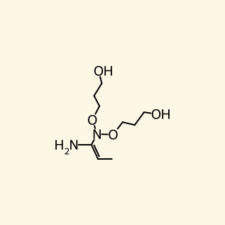 CC=C(N)N(OCCCO)OCCCO